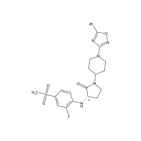 CC(C)c1nc(N2CCC(N3CC[C@H](Nc4ccc(S(C)(=O)=O)cc4F)C3=O)CC2)no1